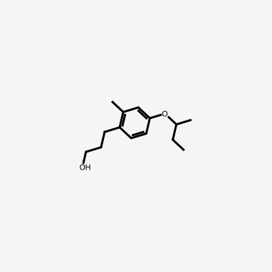 CCC(C)Oc1ccc(CCCO)c(C)c1